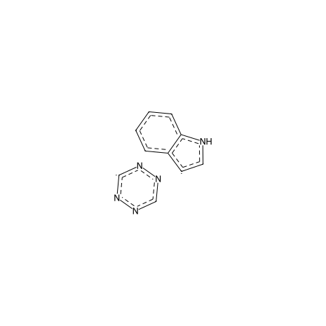 [c]1c[nH]c2ccccc12.[c]1nncnn1